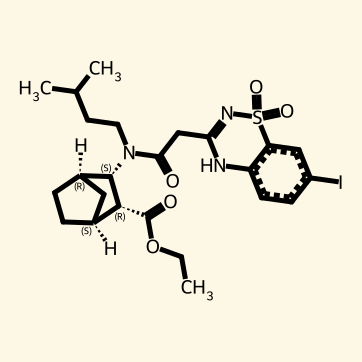 CCOC(=O)[C@@H]1[C@H]2CC[C@H](C2)[C@@H]1N(CCC(C)C)C(=O)CC1=NS(=O)(=O)c2cc(I)ccc2N1